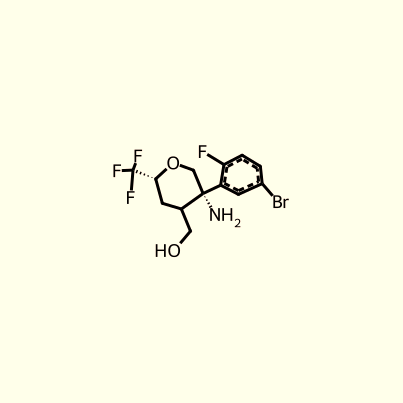 N[C@@]1(c2cc(Br)ccc2F)CO[C@@H](C(F)(F)F)CC1CO